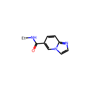 CCNC(=O)c1ccc2nccn2c1